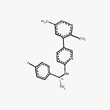 Cc1cnc(C)c(-c2ccc(N[C@H](C)c3ccc(F)cc3)nc2)c1